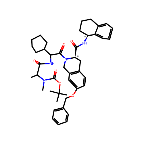 CC(C(=O)NC(C(=O)N1Cc2cc(OCc3ccccc3)ccc2C[C@@H]1C(=O)N[C@H]1CCCc2ccccc21)C1CCCCC1)N(C)C(=O)OC(C)(C)C